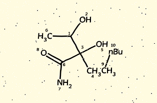 CC(O)C(C)(O)C(N)=O.CCCCC